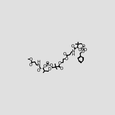 COC(=O)CCNC(=O)[C@@H]1O[P@@](=O)(OCC(C)(C)C(=O)OCCOC(=O)CCNC(=O)[C@@H]2O[P@@](=O)(OCc3ccccc3)OCC2(C)C)OCC1C